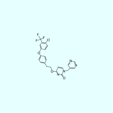 O=c1nc(OCCc2ccc(Oc3ccc(Cl)c(C(F)(F)F)c3)cc2)ccn1Cc1cncnc1